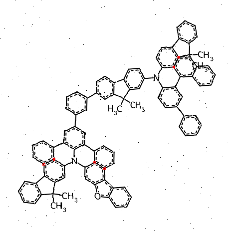 CC1(C)c2ccccc2-c2ccc(N(c3ccc4c(c3)C(C)(C)c3cc(-c5cccc(-c6cc(-c7ccccc7)c(N(c7ccc8c(c7)C(C)(C)c7ccccc7-8)c7ccc8c(c7)oc7ccccc78)c(-c7ccccc7)c6)c5)ccc3-4)c3ccc(-c4ccccc4)cc3-c3cccc4ccccc34)cc21